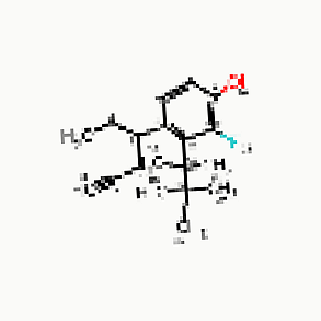 C#CCC(CC)c1ccc(O)c(F)c1C(C)(C)C(C)(C)C